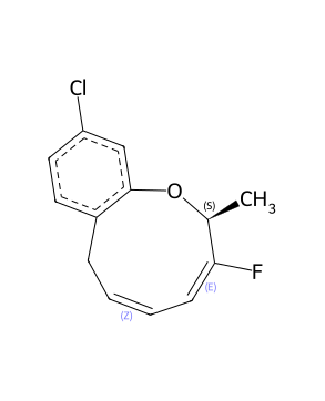 C[C@@H]1Oc2cc(Cl)ccc2C/C=C\C=C/1F